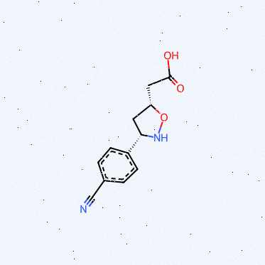 N#Cc1ccc([C@@H]2C[C@H](CC(=O)O)ON2)cc1